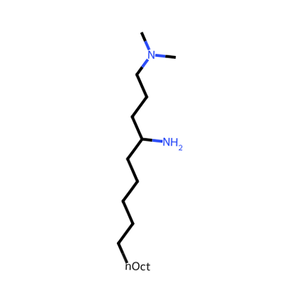 CCCCCCCCCCCCCC(N)CCCN(C)C